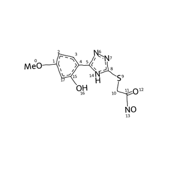 COc1ccc(-c2nnc(SCC(=O)N=O)[nH]2)c(O)c1